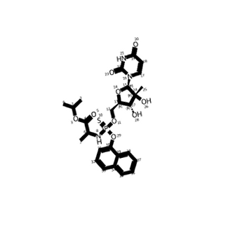 CC(C)OC(=O)C(C)NP(=S)(OC[C@H]1O[C@@H](n2ccc(=O)[nH]c2=O)[C@](C)(O)[C@@H]1O)Oc1cccc2ccccc12